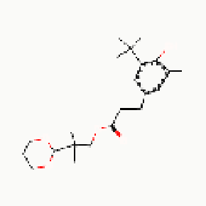 Cc1cc(CCC(=O)OCC(C)(C)C2OCCCO2)cc(C(C)(C)C)c1O